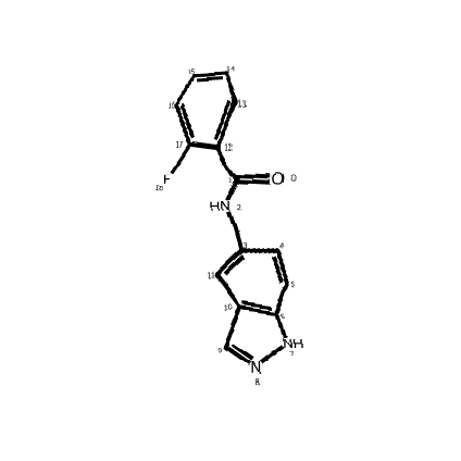 O=C(Nc1ccc2[nH]ncc2c1)c1ccccc1F